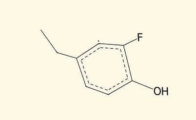 CCc1[c]c(F)c(O)cc1